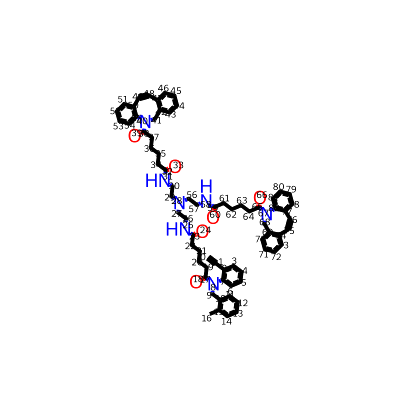 C#Cc1ccccc1N(Cc1ccccc1C)C(=O)CCCCC(=O)NCCN(CCNC(=O)CCCCC(=O)N1Cc2ccccc2C#Cc2ccccc21)CCNC(=O)CCCCC(=O)N1Cc2ccccc2C#Cc2ccccc21